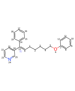 C(/CCCCCOc1ccccc1)=C(/c1ccccc1)c1cccnc1